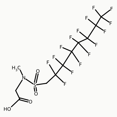 CN(CC(=O)O)S(=O)(=O)CC(F)(F)C(F)(F)C(F)(F)C(F)(F)C(F)(F)C(F)(F)C(F)(F)F